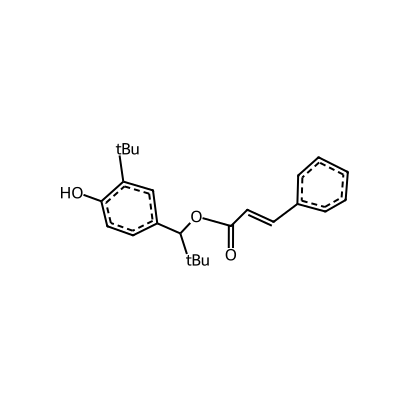 CC(C)(C)c1cc(C(OC(=O)/C=C/c2ccccc2)C(C)(C)C)ccc1O